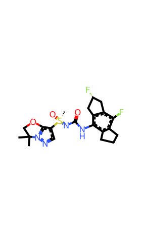 CC1(C)COc2c([S@@](C)(=O)=NC(=O)Nc3c4c(c(F)c5c3C[C@H](F)C5)CCC4)cnn21